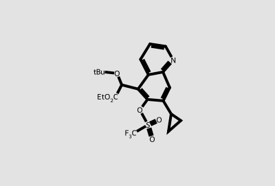 CCOC(=O)C(OC(C)(C)C)c1c(OS(=O)(=O)C(F)(F)F)c(C2CC2)cc2ncccc12